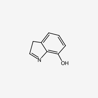 Oc1cccc2c1N=CC2